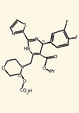 CC(C)OC(=O)C1=C(CN2CCOC[C@@H]2OC(=O)O)NC(c2nccs2)=N[C@H]1c1ccc(F)c(F)c1